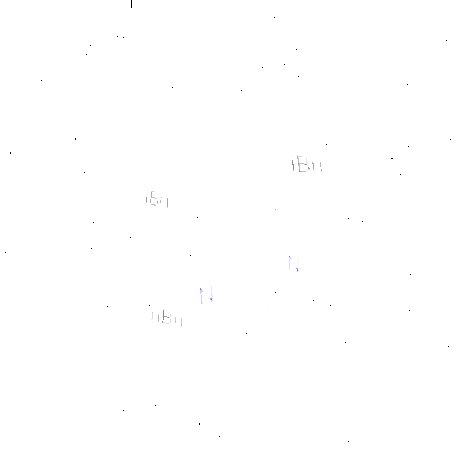 CCCCn1cnc(C(C)CC)c1C(C)CC